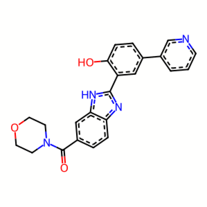 O=C(c1ccc2nc(-c3cc(-c4cccnc4)ccc3O)[nH]c2c1)N1CCOCC1